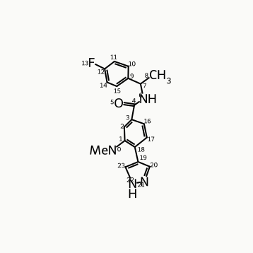 CNc1cc(C(=O)NC(C)c2ccc(F)cc2)ccc1-c1cn[nH]c1